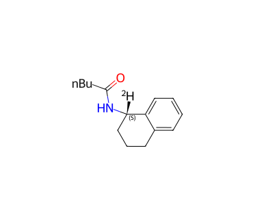 [2H][C@]1(NC(=O)CCCC)CCCc2ccccc21